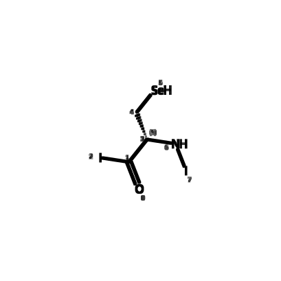 O=C(I)[C@H](C[SeH])NI